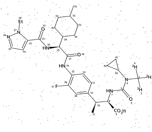 [2H]C([2H])([2H])N(C(=O)N[C@@H](C(=O)O)[C@@H](C)c1ccc(NC(=O)[C@@H](NC(=O)c2ccnn2CC)C2CCC(C)CC2)c(F)c1)C1CC1